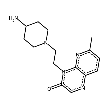 Cc1ccc2ncc(=O)n(CCN3CCC(N)CC3)c2n1